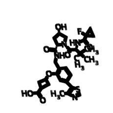 Cc1ncsc1-c1ccc(CNC(=O)[C@@H]2C[C@@H](O)CN2C(=O)[C@@H](NC(=O)C2(F)CC2)C(C)(C)C)c(OC2CC(C(=O)O)C2)c1